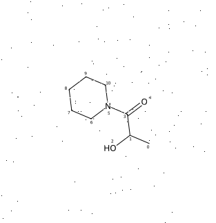 CC(O)C(=O)N1[CH]CCCC1